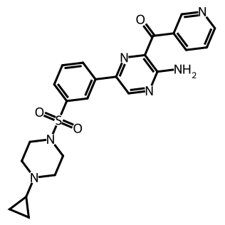 Nc1ncc(-c2cccc(S(=O)(=O)N3CCN(C4CC4)CC3)c2)nc1C(=O)c1cccnc1